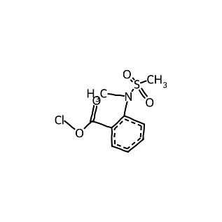 CN(c1ccccc1C(=O)OCl)S(C)(=O)=O